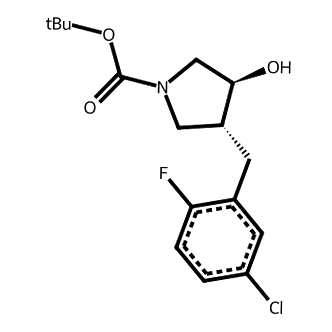 CC(C)(C)OC(=O)N1C[C@@H](Cc2cc(Cl)ccc2F)[C@H](O)C1